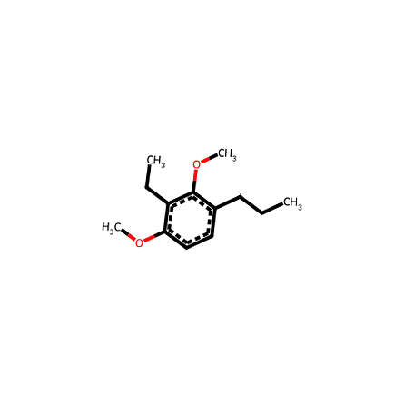 CC[CH]c1ccc(OC)c(CC)c1OC